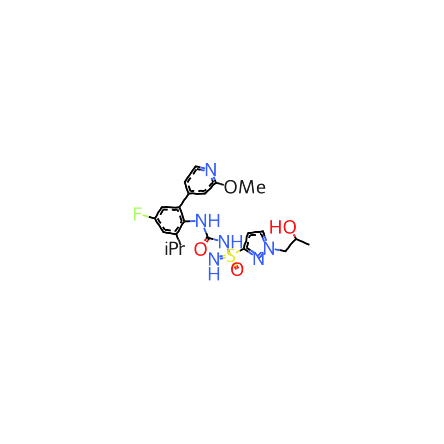 COc1cc(-c2cc(F)cc(C(C)C)c2NC(=O)NS(=N)(=O)c2ccn(CC(C)O)n2)ccn1